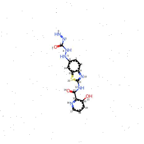 N=NC(=O)NNc1ccc2nc(NC(=O)c3ncccc3O)sc2c1